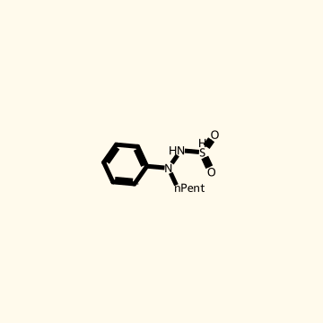 CCCCCN(N[SH](=O)=O)c1[c]cccc1